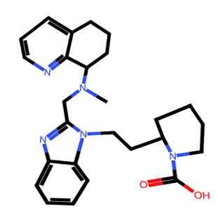 CN(Cc1nc2ccccc2n1CCC1CCCCN1C(=O)O)C1CCCc2cccnc21